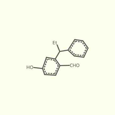 CCC(c1ccccc1)c1cc(O)ccc1C=O